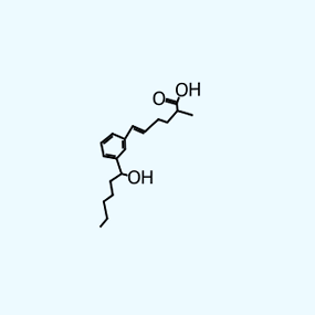 CCCCCC(O)c1cccc(C=CCCC(C)C(=O)O)c1